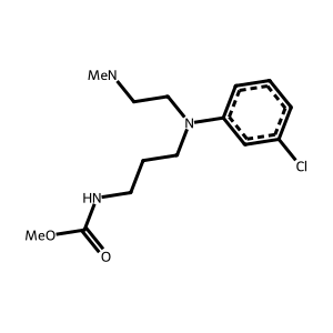 CNCCN(CCCNC(=O)OC)c1cccc(Cl)c1